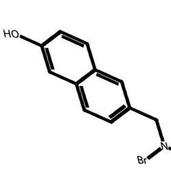 CN(Br)Cc1ccc2cc(O)ccc2c1